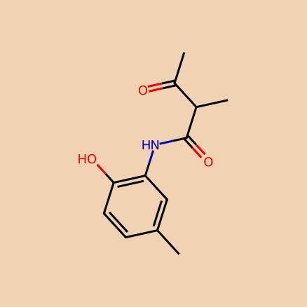 CC(=O)C(C)C(=O)Nc1cc(C)ccc1O